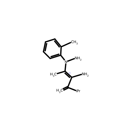 C=C(/C(N)=C(\C)N(N)c1ccccc1C)C(C)C